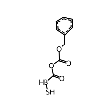 O=C(BS)OC(=O)OCc1ccccc1